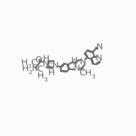 C[C@@H]1CN(c2ccc(C#N)c3ncccc23)C[C@@H]2Cc3cc(N4C[C@@H]5C[C@H]4CN5C(=O)C(C)(C)N)ccc3CN21